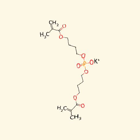 C=C(C)C(=O)OCCCCOP(=O)([O-])OCCCCOC(=O)C(=C)C.[K+]